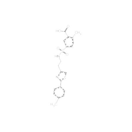 Cc1ccc(-c2nc(CCNS(=O)(=O)c3ccc(C)c(C(=O)O)c3)cs2)cc1